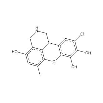 Cc1cc(O)c2c3c1Oc1c(cc(Cl)c(O)c1O)C3CNC2